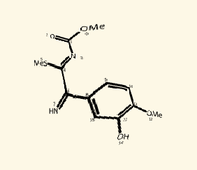 COC(=O)N=C(SC)C(=N)c1ccc(OC)c(O)c1